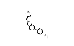 COc1ccc(-c2cc3oc(C=C4SC(=O)NC4=O)cc3cn2)cc1